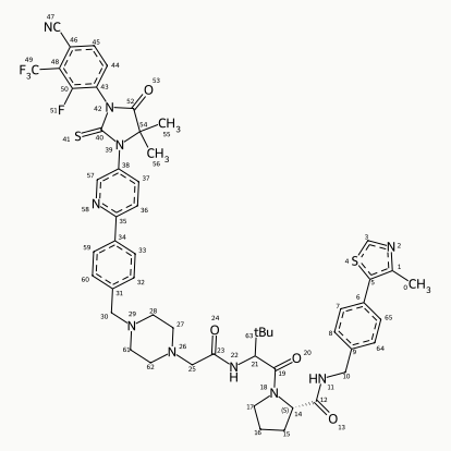 Cc1ncsc1-c1ccc(CNC(=O)[C@@H]2CCCN2C(=O)C(NC(=O)CN2CCN(Cc3ccc(-c4ccc(N5C(=S)N(c6ccc(C#N)c(C(F)(F)F)c6F)C(=O)C5(C)C)cn4)cc3)CC2)C(C)(C)C)cc1